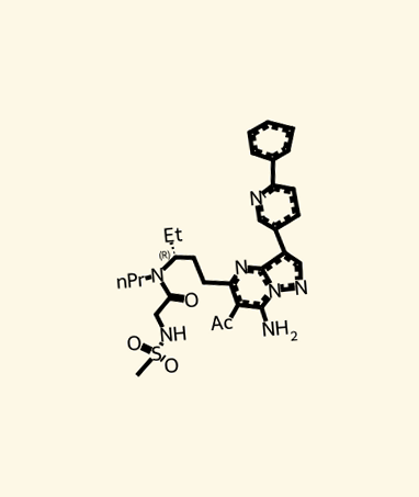 CCCN(C(=O)CNS(C)(=O)=O)[C@H](CC)CCc1nc2c(-c3ccc(-c4ccccc4)nc3)cnn2c(N)c1C(C)=O